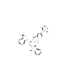 Cn1nccc1-c1coc(C(=O)N[C@@H](Cc2ccccc2C(F)(F)F)CN2C(=O)c3ccccc3C2=O)c1